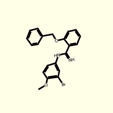 COc1ccc(NC(=N)c2ccccc2OCc2ccccc2)cc1Br